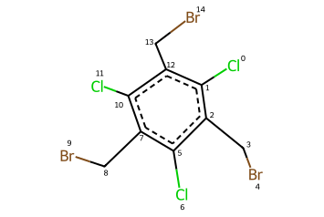 Clc1c(CBr)c(Cl)c(CBr)c(Cl)c1CBr